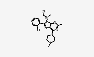 Cc1nc(N2CCN(C)CC2)c2nc(-c3ccccc3Cl)n([C@H](C)CO)c2n1